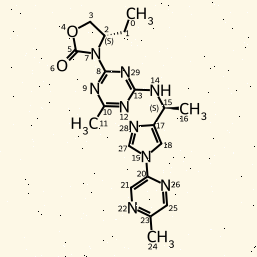 CC[C@H]1COC(=O)N1c1nc(C)nc(N[C@@H](C)c2cn(-c3cnc(C)cn3)cn2)n1